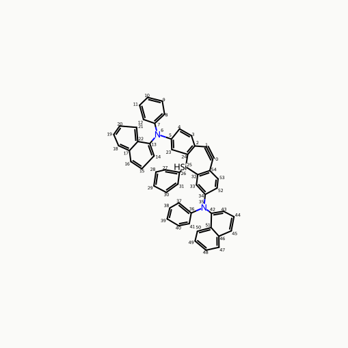 C1#Cc2ccc(N(c3ccccc3)c3cccc4ccccc34)cc2[SiH](c2ccccc2)c2cc(N(c3ccccc3)c3cccc4ccccc34)ccc21